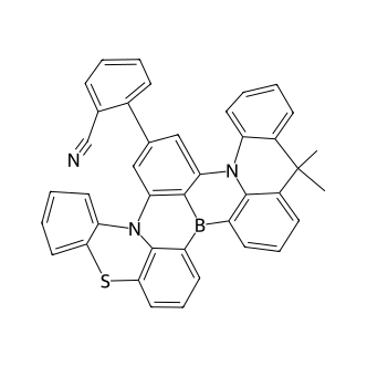 CC1(C)c2ccccc2N2c3cc(-c4ccccc4C#N)cc4c3B(c3cccc5c3N4c3ccccc3S5)c3cccc1c32